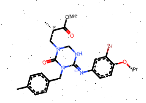 COC(=O)[C@@H](C)CN1CN/C(=N\c2ccc(OC(C)C)c(Br)c2)N(Cc2ccc(C)cc2)C1=O